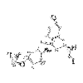 C=CSNC1Cc2cc(Cl)ccc2N(C(=O)Nc2ccc(OC(F)(F)F)cc2)C1